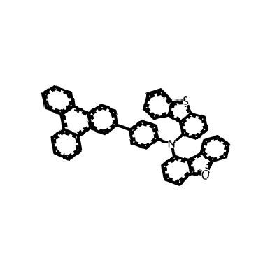 c1ccc2c(c1)oc1cccc(N(c3ccc(-c4ccc5c6ccccc6c6ccccc6c5c4)cc3)c3cccc4sc5ccccc5c34)c12